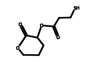 O=C(CCS)OC1CCCOC1=O